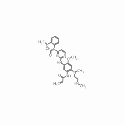 C=CC(=O)Nc1cc(Nc2nccc(N(C=O)c3ccccc3N(C)C)n2)c(OC)cc1N(C)CCNC